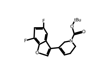 CC(C)(C)OC(=O)N1CCC=C(c2coc3c(F)cc(F)cc23)C1